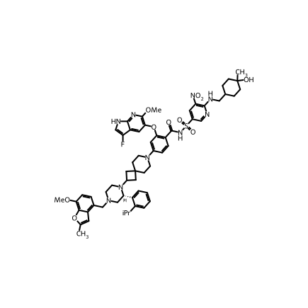 COc1nc2[nH]cc(F)c2cc1Oc1cc(N2CCC3(CC2)CC(N2CCN(Cc4ccc(OC)c5oc(C)cc45)C[C@H]2c2ccccc2C(C)C)C3)ccc1C(=O)NS(=O)(=O)c1cnc(NCC2CCC(C)(O)CC2)c([N+](=O)[O-])c1